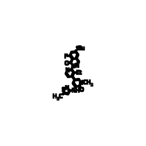 CCc1c(-c2cc(Nc3cc(C)sn3)c(=O)n(C)c2)ccnc1-n1ncc2cc(C(C)(C)C)cc(F)c2c1=O